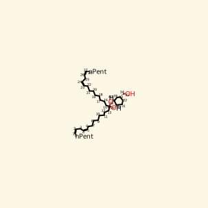 CCCCC/C=C\C/C=C\CCCCCCCCC1(CCCCCCCC/C=C\C/C=C\CCCCC)O[C@@H]2CC[C@@H](CO)C[C@H]2O1